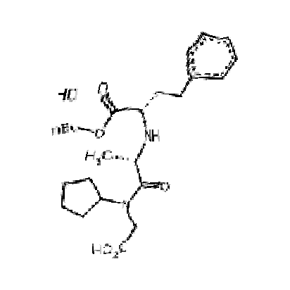 CCCCOC(=O)[C@H](CCc1ccccc1)N[C@@H](C)C(=O)N(CC(=O)O)C1CCCC1.Cl